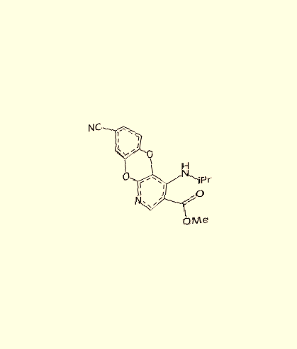 COC(=O)c1cnc2c(c1NC(C)C)Oc1ccc(C#N)cc1O2